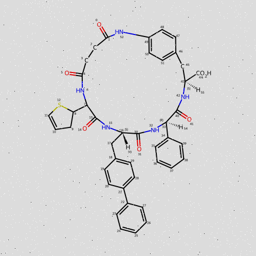 O=C1CCC(=O)NC(C2CC=CS2)C(=O)N[C@@H](Cc2ccc(-c3ccccc3)cc2)C(=O)N[C@H](c2ccccc2)C(=O)N[C@H](C(=O)O)Cc2ccc(cc2)N1